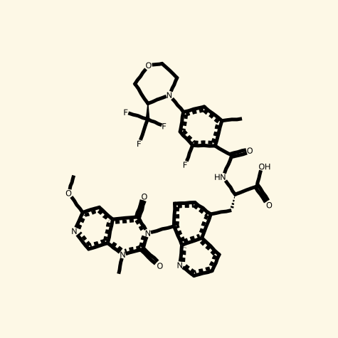 COc1cc2c(=O)n(-c3ccc(C[C@H](NC(=O)c4c(C)cc(N5CCOC[C@@H]5C(F)(F)F)cc4F)C(=O)O)c4cccnc34)c(=O)n(C)c2cn1